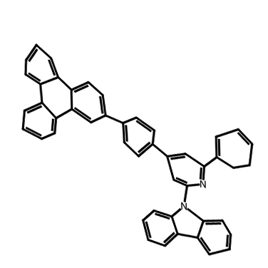 C1=CCCC(c2cc(-c3ccc(-c4ccc5c6ccccc6c6ccccc6c5c4)cc3)cc(-n3c4ccccc4c4ccccc43)n2)=C1